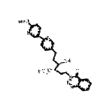 COc1ccc(-c2ccc(CC[C@@H](O)[C@H](CCn3nnc4ccccc4c3=O)C(=O)O)cn2)cn1